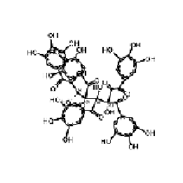 O=C(C(=O)[C@@](O)(C(=O)c1cc(O)c(O)c(O)c1)[C@](O)(C(=O)c1cc(O)c(O)c(O)c1)[C@@](O)(C(=O)c1cc(O)c(O)c(O)c1)[C@H](O)C(O)C(=O)c1cc(O)c(O)c(O)c1)c1cc(O)c(O)c(O)c1